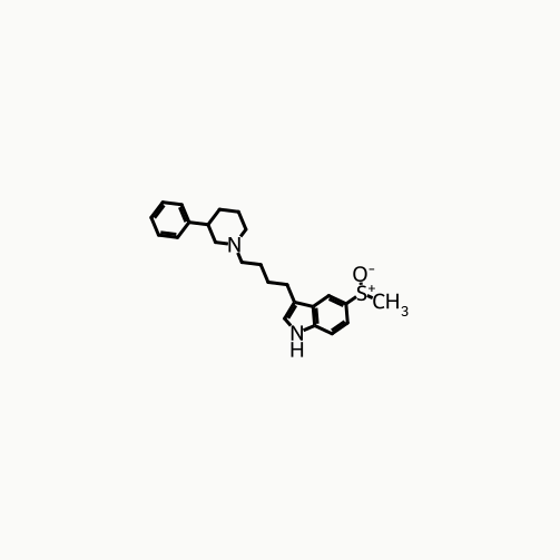 C[S+]([O-])c1ccc2[nH]cc(CCCCN3CCCC(c4ccccc4)C3)c2c1